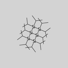 CC(C)[Si]1(C(C)C)[Si](C(C)C)(C(C)C)[Si]2(C(C)C)[Si](C(C)C)(C(C)C)[Si](C(C)C)(C(C)C)[Si]12C(C)C